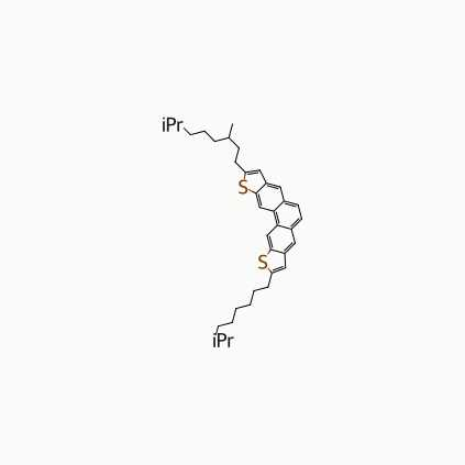 CC(C)CCCCCCc1cc2cc3ccc4cc5cc(CCC(C)CCCC(C)C)sc5cc4c3cc2s1